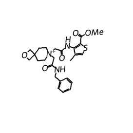 COC(=O)c1scc(C)c1NC(=O)C[N+]1(CC(=O)NCc2ccccc2)CCC2(CC1)COC2